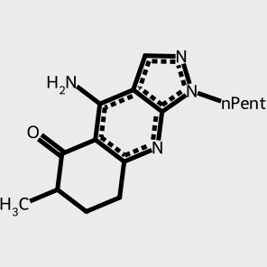 CCCCCn1ncc2c(N)c3c(nc21)CCC(C)C3=O